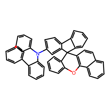 c1ccc(-c2ccccc2N(c2ccccc2)c2ccc3c(c2)C2(c4ccccc4Oc4c2ccc2ccccc42)c2ccccc2-3)cc1